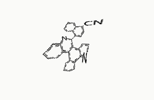 N#Cc1ccc(-c2nc3ccccc3c3c4ccccc4c4ncccc4c23)c2ccccc12